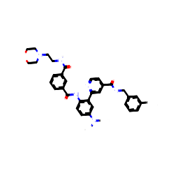 CCCN(CCC)c1ccc(NC(=O)c2cccc(C(=O)N(C)CCN3CCOCC3)c2)c(-c2cc(C(=O)NCc3cccc(C(F)(F)F)c3)ccn2)c1